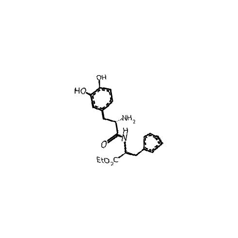 CCOC(=O)[C@H](Cc1ccccc1)NC(=O)[C@@H](N)Cc1ccc(O)c(O)c1